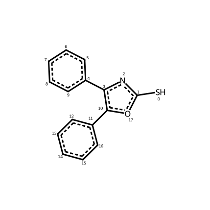 Sc1nc(-c2ccccc2)c(-c2ccccc2)o1